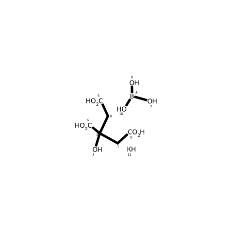 O=C(O)CC(O)(CC(=O)O)C(=O)O.OB(O)O.[KH]